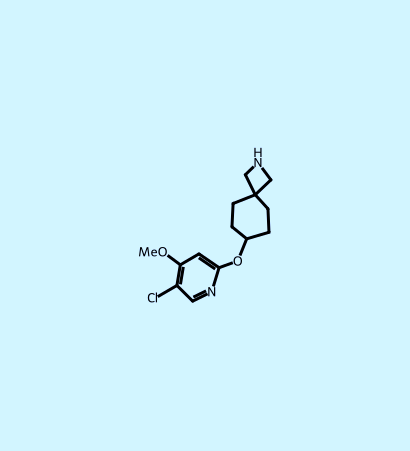 COc1cc(OC2CCC3(CC2)CNC3)ncc1Cl